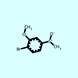 COc1cc([S+](C)[O-])ccc1Br